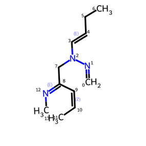 C=NN(/C=C/CC)CC(/C=C\C)=N/C